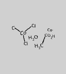 CC(=O)O.O.[Cl][Co]([Cl])[Cl].[Co]